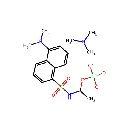 CC(NS(=O)(=O)c1cccc2c(N(C)C)cccc12)O[Cl+3]([O-])([O-])[O-].CN(C)C